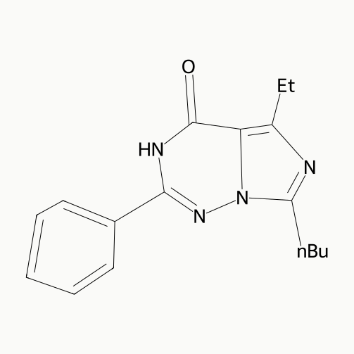 CCCCc1nc(CC)c2c(=O)[nH]c(-c3ccccc3)nn12